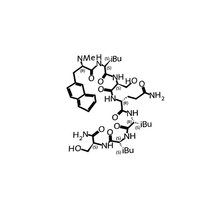 CC[C@H](C)[C@H](NC(=O)[C@@H](Cc1ccc2ccccc2c1)NC)C(=O)N[C@@H](CO)C(=O)N[C@H](CCC(N)=O)C(=O)N[C@@H](C(=O)N[C@H](C(=O)N[C@@H](CO)C(N)=O)[C@@H](C)CC)[C@@H](C)CC